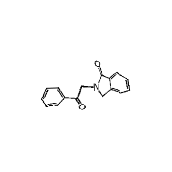 O=C(CN1Cc2ccccc2C1=O)c1ccccc1